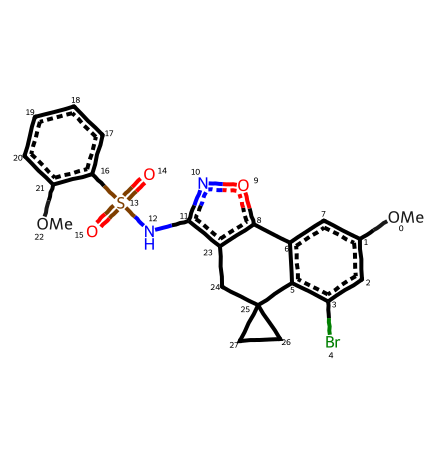 COc1cc(Br)c2c(c1)-c1onc(NS(=O)(=O)c3ccccc3OC)c1CC21CC1